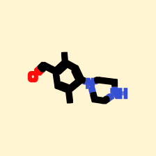 Cc1cc(N2CCNCC2)c(C)cc1C=O